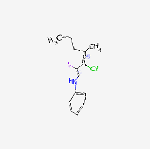 CCC/C(C)=C(Cl)\C(I)=C\Nc1ccccc1